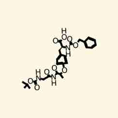 CC1Oc2ccc(C[C@H](NC(=O)OCc3ccccc3)C(=O)O)cc2OC1NC(=O)CNC(=O)OC(C)(C)C